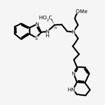 COCCN(CCCCc1ccc2c(n1)NCCC2)CC[C@H](Nc1nc2ccccc2s1)C(=O)O